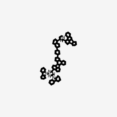 c1ccc2c(c1)-c1ccc(-c3nccc(-c4cccc5cc(-c6ccc(-c7ccc8c9c(c%10ccccc%10c8c7)-c7cccc8c(-c%10nc(-n%11c%12ccccc%12c%12ccccc%12%11)nc(-n%11c%12ccccc%12c%12ccccc%12%11)n%10)ccc-9c78)cc6)ccc45)n3)c3c1c-2cc1ccccc13